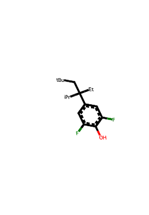 CCC(CC(C)(C)C)(c1cc(F)c(O)c(F)c1)C(C)C